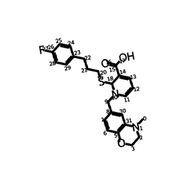 CN1CCOc2ccc(CN3C=CC=C(C(=O)O)C3SCCCc3ccc(F)cc3)cc21